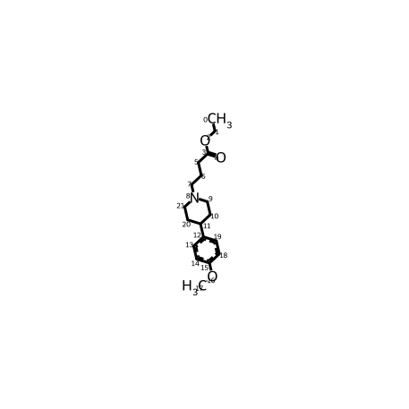 CCOC(=O)CCCN1CCC(c2ccc(OC)cc2)CC1